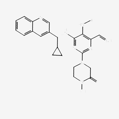 CC(C)Nc1c(C=N)nc(N2CCN(C)C(=O)C2)nc1N[C@@H](c1cnc2ccccc2c1)C1CC1